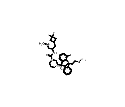 CNCC(CC1CC(F)(F)C1)NC(=O)N1CCC[C@@H]([C@@](O)(CCCCOC)c2cccc(F)c2Oc2ccccc2)C1